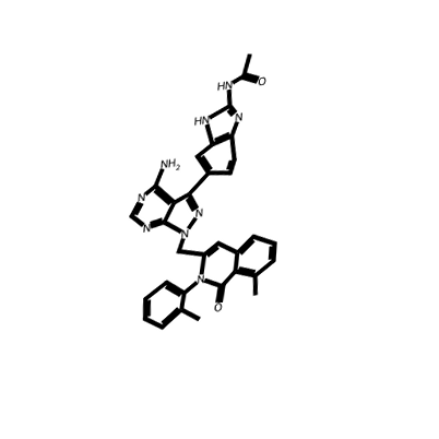 CC(=O)Nc1nc2ccc(-c3nn(Cc4cc5cccc(C)c5c(=O)n4-c4ccccc4C)c4ncnc(N)c34)cc2[nH]1